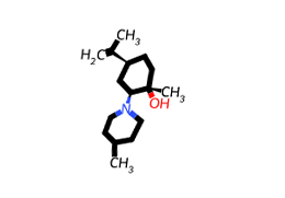 C=C(C)[C@H]1CC[C@](C)(O)[C@@H](N2CCC(C)CC2)C1